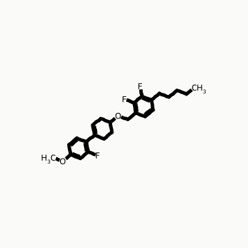 CCCCCc1ccc(COC2CC=C(c3ccc(OC)cc3F)CC2)c(F)c1F